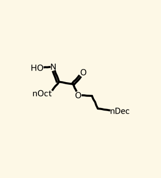 CCCCCCCCCCCCOC(=O)/C(CCCCCCCC)=N/O